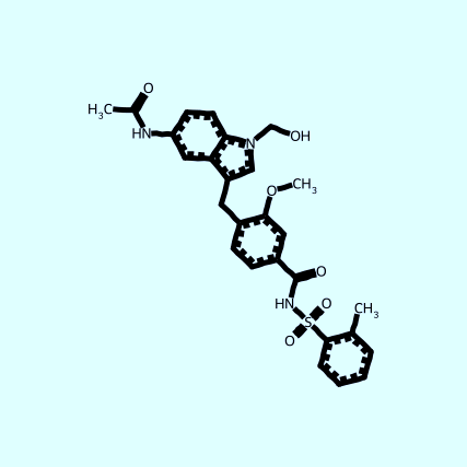 COc1cc(C(=O)NS(=O)(=O)c2ccccc2C)ccc1Cc1cn(CO)c2ccc(NC(C)=O)cc12